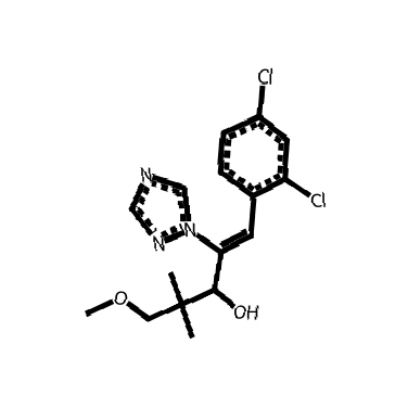 COCC(C)(C)C(O)C(=Cc1ccc(Cl)cc1Cl)n1cncn1